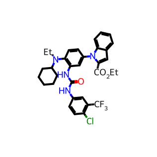 CCOC(=O)c1cc2ccccc2n1-c1ccc(N(CC)C2CCCCC2)c(NC(=O)Nc2ccc(Cl)c(C(F)(F)F)c2)c1